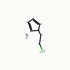 ClCCC1C=CC=C1.[Ti]